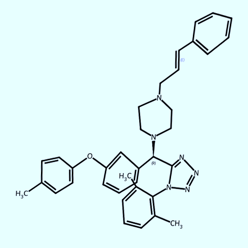 Cc1ccc(Oc2cccc([C@H](c3nnnn3-c3c(C)cccc3C)N3CCN(C/C=C/c4ccccc4)CC3)c2)cc1